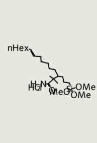 CCCCCCC=CCCCCCC(CCC[Si](OC)(OC)OC)C(C)(C)C(N)=O.Cl